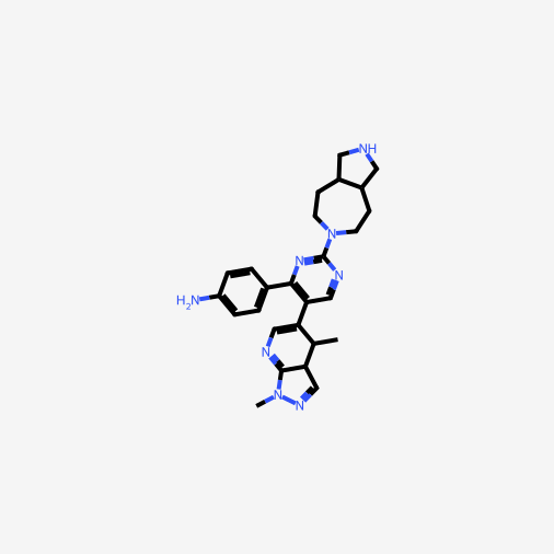 CC1C(c2cnc(N3CCC4CNCC4CC3)nc2-c2ccc(N)cc2)=CN=C2C1C=NN2C